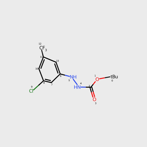 CC(C)(C)OC(=O)NNc1cc(Cl)cc(C(F)(F)F)c1